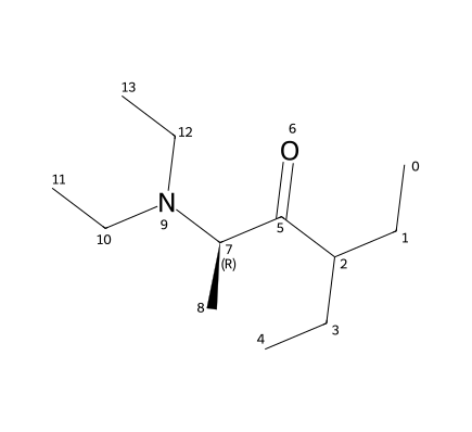 CCC(CC)C(=O)[C@@H](C)N(CC)CC